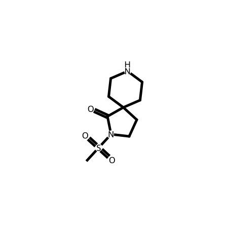 CS(=O)(=O)N1CCC2(CCNCC2)C1=O